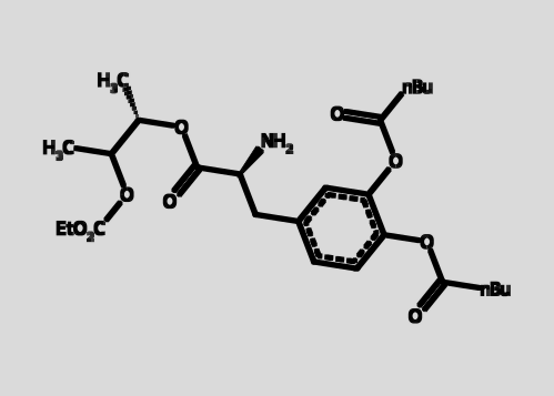 CCCCC(=O)Oc1ccc(C[C@H](N)C(=O)O[C@@H](C)C(C)OC(=O)OCC)cc1OC(=O)CCCC